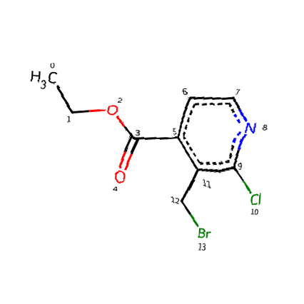 CCOC(=O)c1ccnc(Cl)c1CBr